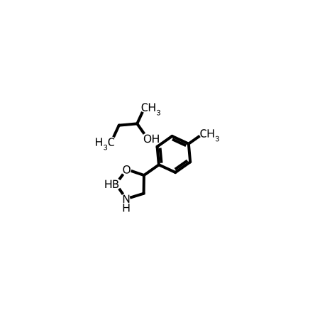 CCC(C)O.Cc1ccc(C2CNBO2)cc1